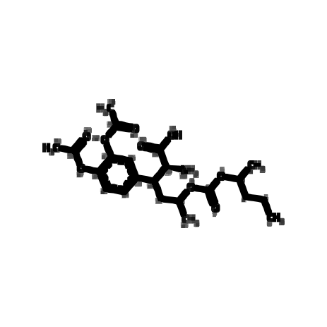 CCCC(C)OC(=O)OC(C)CC(c1ccc(OC(C)=O)c(OC(C)=O)c1)[C@H](N)C(=O)O